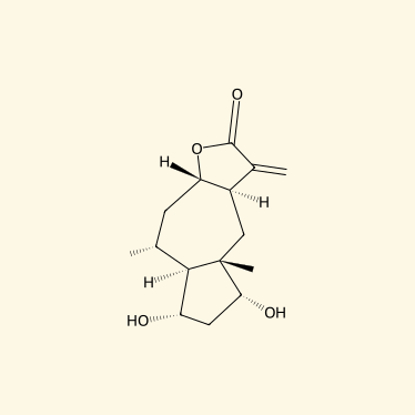 C=C1C(=O)O[C@H]2C[C@@H](C)[C@@H]3[C@@H](O)C[C@@H](O)[C@@]3(C)C[C@H]12